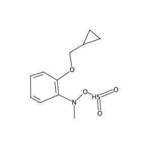 CN(O[SH](=O)=O)c1[c]cccc1OCC1CC1